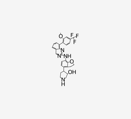 COc1cc(C(F)(F)F)ccc1-c1cccc2cnc(Nc3ccc(C4CCNCC4O)c4c3OCC4)nc12